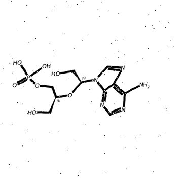 Nc1ncnc2c1ncn2[C@H](CO)O[C@@H](CO)COP(=O)(O)O